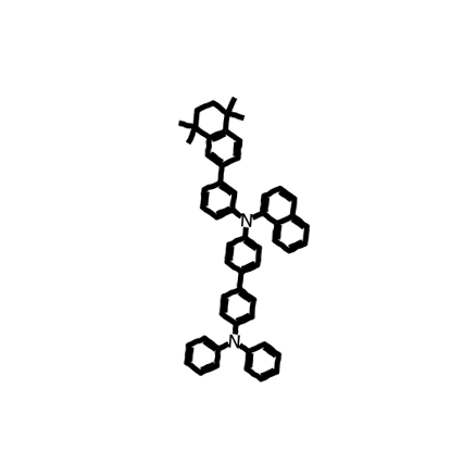 CC1(C)CCC(C)(C)c2cc(-c3cccc(N(c4ccc(-c5ccc(N(c6ccccc6)c6ccccc6)cc5)cc4)c4cccc5ccccc45)c3)ccc21